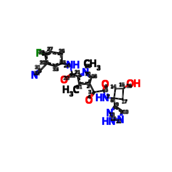 Cc1c(C(=O)C(=O)NC2(c3cn[nH]n3)CC(O)C2)cn(C)c1C(=O)Nc1ccc(F)c(C#N)c1